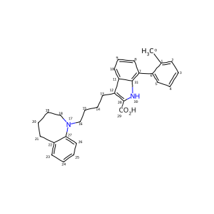 Cc1ccccc1-c1cccc2c(CCCCN3CCCCc4ccccc43)c(C(=O)O)[nH]c12